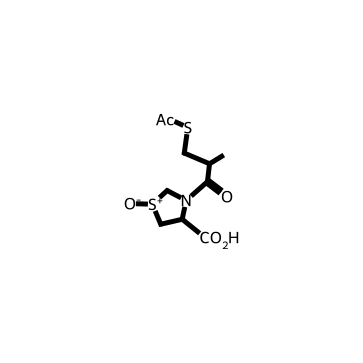 CC(=O)SCC(C)C(=O)N1C[S+]([O-])CC1C(=O)O